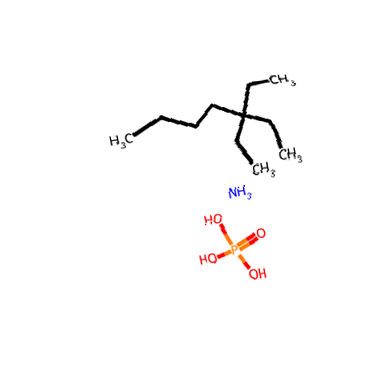 CCCCC(CC)(CC)CC.N.O=P(O)(O)O